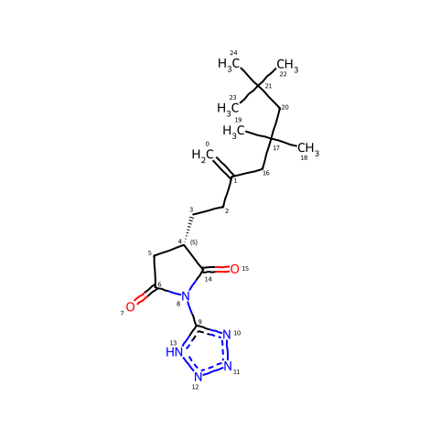 C=C(CC[C@H]1CC(=O)N(c2nnn[nH]2)C1=O)CC(C)(C)CC(C)(C)C